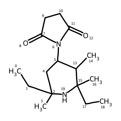 CCC1(C)CC(N2C(=O)CCC2=O)C(C)C(C)(CC)N1